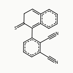 N#Cc1cccc(C2=c3ccccc3=CCC2=S)c1C#N